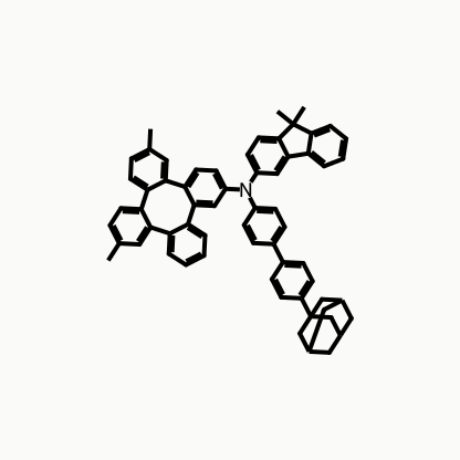 Cc1ccc2c(c1)-c1ccccc1-c1cc(N(c3ccc(-c4ccc(C56CC7CC(CC(C7)C5)C6)cc4)cc3)c3ccc4c(c3)-c3ccccc3C4(C)C)ccc1-c1cc(C)ccc1-2